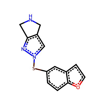 c1cc2cc(Sn3cc4c(n3)CNC4)ccc2o1